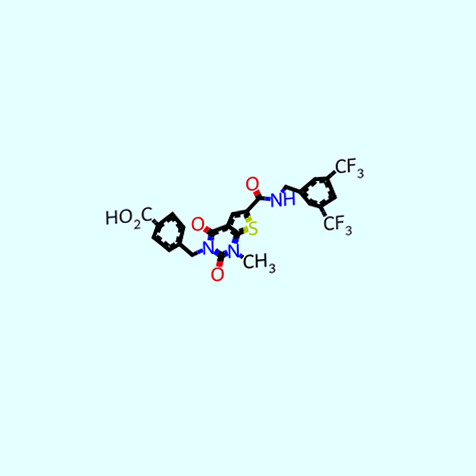 Cn1c(=O)n(Cc2ccc(C(=O)O)cc2)c(=O)c2cc(C(=O)NCc3cc(C(F)(F)F)cc(C(F)(F)F)c3)sc21